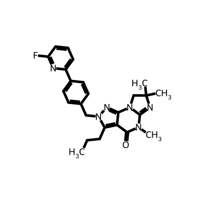 CCCc1c2c(nn1Cc1ccc(-c3cccc(F)n3)cc1)N1CC(C)(C)N=C1N(C)C2=O